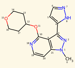 Cn1nc(-c2ccn[nH]2)c2c(OC3CCOCC3)nccc21